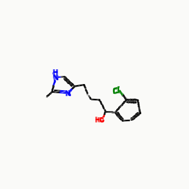 Cc1nc(CCCC(O)c2ccccc2Cl)c[nH]1